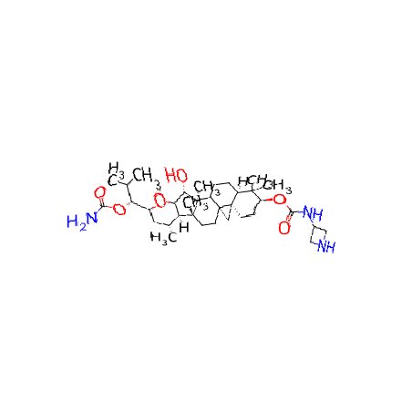 CC(C)[C@@H](OC(N)=O)C1C[C@@H](C)[C@H]2C(O1)[C@H](O)[C@@]1(C)C3CC[C@H]4C(C)(C)[C@@H](OC(=O)NC5CNC5)CC[C@@]45CC35CC[C@]21C